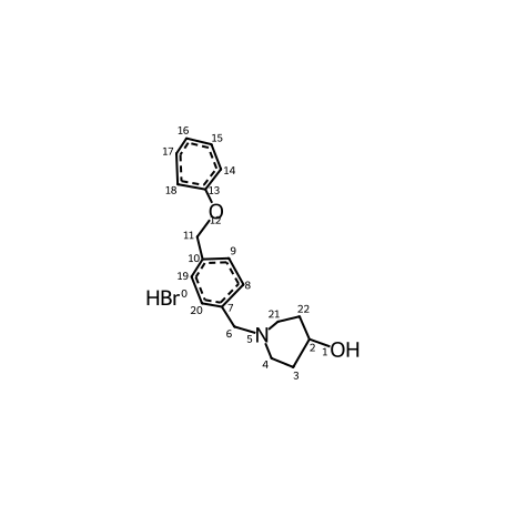 Br.OC1CCN(Cc2ccc(COc3ccccc3)cc2)CC1